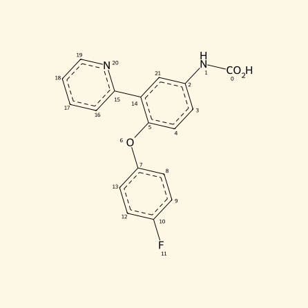 O=C(O)Nc1ccc(Oc2ccc(F)cc2)c(-c2ccccn2)c1